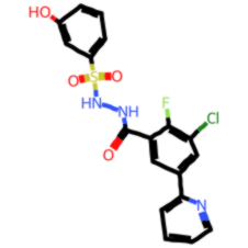 O=C(NNS(=O)(=O)c1cccc(O)c1)c1cc(-c2ccccn2)cc(Cl)c1F